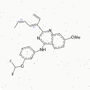 C=C/C(=C\C=C/C)c1nc(Nc2cccc(OC(F)F)c2)c2ccc(OC)cc2n1